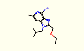 CCOCc1nc2c(N)nc(C)cc2n1CC(C)C